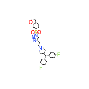 O=S(=O)(c1ccc2c(c1)OCC2)n1cc(CCN2CCC(=C(c3ccc(F)cc3)c3ccc(F)cc3)CC2)nn1